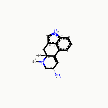 CCN1C[C@@H](N)C=C2c3cccc4[nH]cc(c34)C[C@H]21